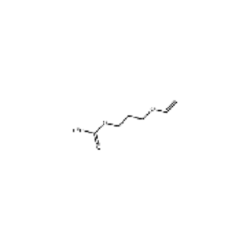 C=COCCCOC(=O)CCC